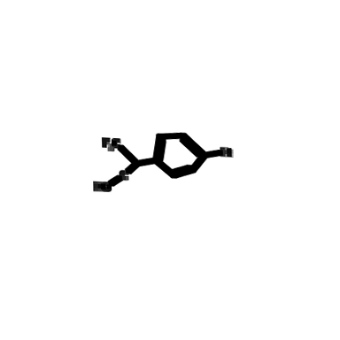 CCc1ccc(C(CO)C(F)(F)F)cc1